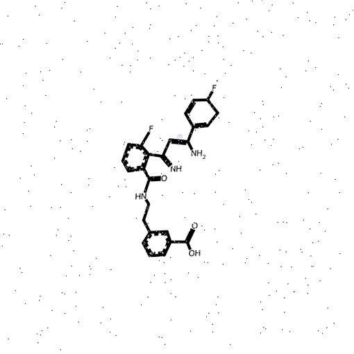 N=C(/C=C(\N)C1=CCC(F)C=C1)c1c(F)cccc1C(=O)NCCc1cccc(C(=O)O)c1